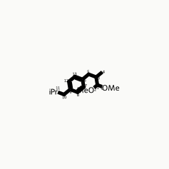 COC(OC)C(C)Cc1ccc(CC(C)C)cc1